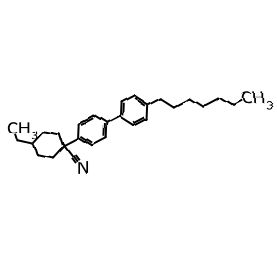 CCCCCCCc1ccc(-c2ccc(C3(C#N)CCC(CC)CC3)cc2)cc1